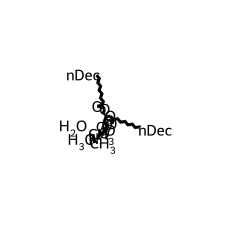 CCCCCCCCCCCCCCCCCC(=O)OC[C@H](COP(=O)([O-])OCC[N+](C)(C)C)OC(=O)CCCCCCCCCCCCCCCCC.O